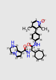 Cc1cc[n+]([O-])c(C)c1-c1ccc(NC(=O)[C@@H](NC(=O)c2ccn3c2CNCC3)C2CCCCCC2)cc1